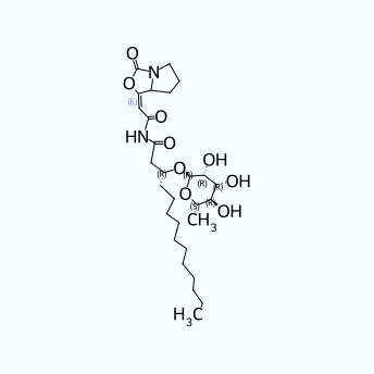 CCCCCCCCCCC[C@H](CC(=O)NC(=O)/C=C1/OC(=O)N2CCCC12)O[C@@H]1O[C@@H](C)[C@H](O)[C@@H](O)[C@H]1O